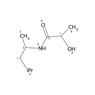 CC(C)CC(C)NC(=O)C(C)O